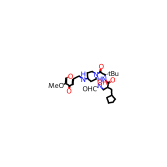 COc1coc(CNC2CCN(C(=O)[C@@H](NC(=O)C(CC3CCCC3)CN(O)C=O)C(C)(C)C)CC2)cc1=O